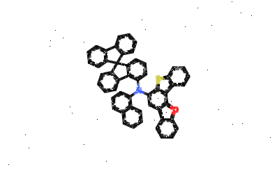 c1ccc2c(c1)-c1ccccc1C21c2ccccc2-c2c(N(c3cccc4ccccc34)c3cc4c5ccccc5oc4c4c3sc3ccccc34)cccc21